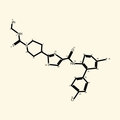 CC(C)CNC(=S)N1CCC(c2nc(C(=O)Nc3ccc(F)cc3-c3ccc(Cl)cc3)cs2)CC1